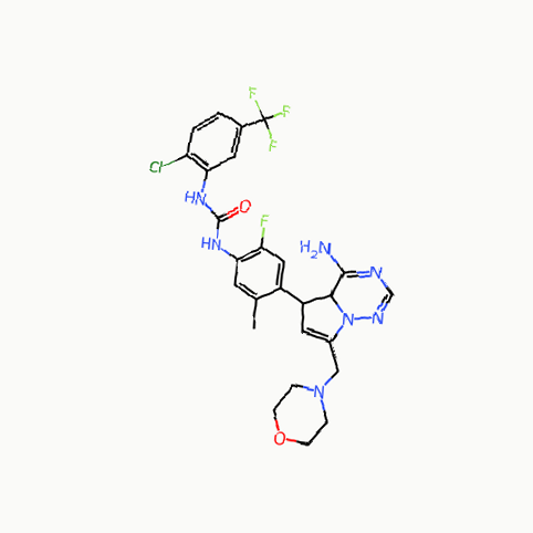 Cc1cc(NC(=O)Nc2cc(C(F)(F)F)ccc2Cl)c(F)cc1C1C=C(CN2CCOCC2)N2N=CN=C(N)C12